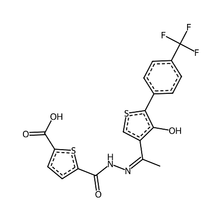 C/C(=N/NC(=O)c1ccc(C(=O)O)s1)c1csc(-c2ccc(C(F)(F)F)cc2)c1O